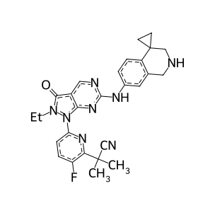 CCn1c(=O)c2cnc(Nc3ccc4c(c3)CNCC43CC3)nc2n1-c1ccc(F)c(C(C)(C)C#N)n1